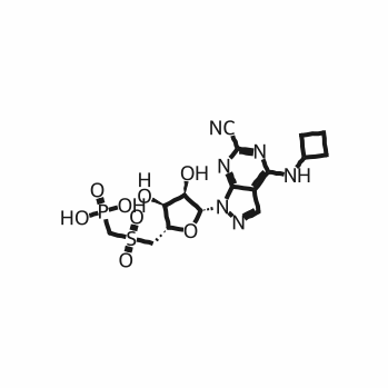 N#Cc1nc(NC2CCC2)c2cnn([C@@H]3O[C@H](CS(=O)(=O)CP(=O)(O)O)[C@@H](O)[C@H]3O)c2n1